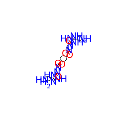 N=C(N)C(NC(=O)N1CCN(C(=O)O[C@H]2CCC[C@@H](OC(=O)N3CCN(C(=O)NC(C(=N)N)C4CCNCC4)CC3)CCC2)CC1)C1CCNCC1